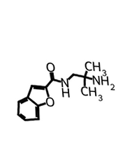 CC(C)(N)CNC(=O)c1cc2ccccc2o1